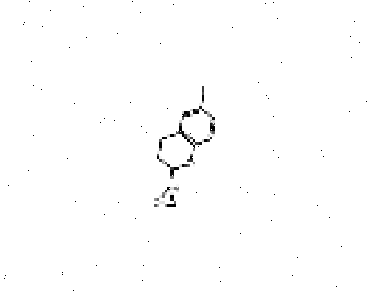 Fc1ccc2c(c1)CCC([C@H]1CO1)O2